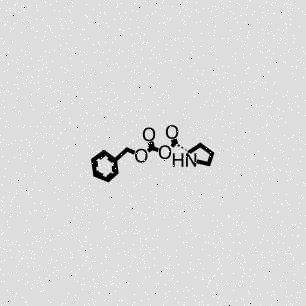 O=C(OCc1ccccc1)OC(=O)[C@@H]1CCCN1